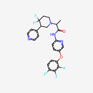 CC(C(=O)Nc1ccc(Oc2ccc(F)c(F)c2F)cn1)N1CCC(F)(F)C(c2ccncc2)C1